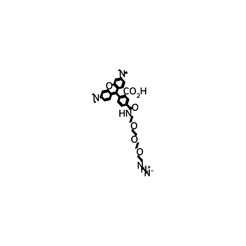 CN(C)c1ccc2c(-c3ccc(C(=O)NCCOCCOCCOCCN=[N+]=[N-])cc3C(=O)O)c3ccc(=[N+](C)C)cc-3oc2c1